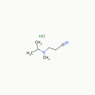 CC(C)N(C)CCC#N.Cl